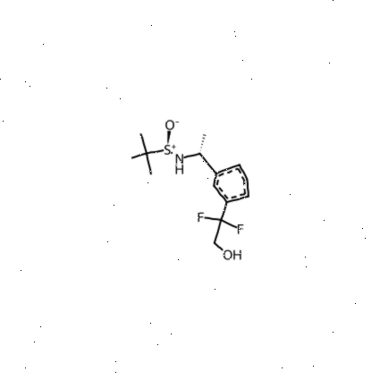 C[C@@H](N[S@+]([O-])C(C)(C)C)c1cccc(C(F)(F)CO)c1